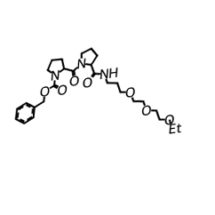 CCOCCOCCOCCCNC(=O)C1CCCN1C(=O)C1CCCN1C(=O)OCc1ccccc1